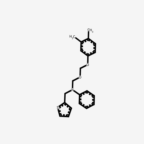 Cc1ccc(OCOCN(Cc2cccs2)c2ccccc2)cc1C